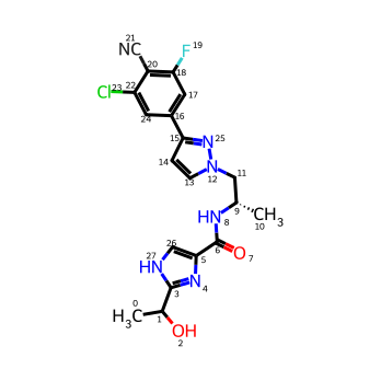 CC(O)c1nc(C(=O)N[C@@H](C)Cn2ccc(-c3cc(F)c(C#N)c(Cl)c3)n2)c[nH]1